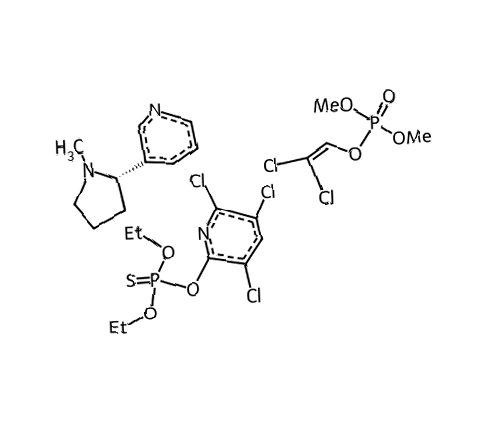 CCOP(=S)(OCC)Oc1nc(Cl)c(Cl)cc1Cl.CN1CCC[C@H]1c1cccnc1.COP(=O)(OC)OC=C(Cl)Cl